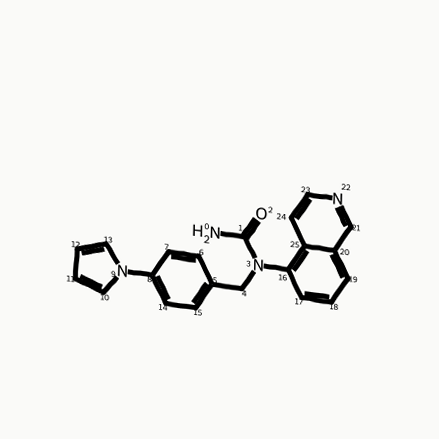 NC(=O)N(Cc1ccc(-n2cccc2)cc1)c1cccc2cnccc12